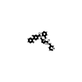 Cc1cc(C(=O)N2Cc3ccc(C(=O)NCc4cccnc4)n3Cc3ccccc32)ccc1-c1ccccc1F